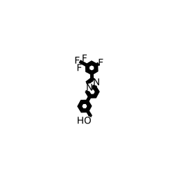 OCc1cccc(-c2ccc3nc(-c4cc(F)cc(C(F)(F)F)c4)cn3c2)c1